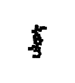 COCC1CC(OC(C)C)(c2cnc3nc(NC(=O)OC(C)(C)C)sc3n2)C1